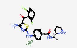 CC(NC(=O)c1ccc(Nc2nc(N)c(C(=O)c3c(F)cccc3F)s2)cc1)[C@@H]1CCCN1.Cl.Cl